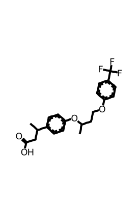 CC(CCOc1ccc(C(F)(F)F)cc1)Oc1ccc(C(C)CC(=O)O)cc1